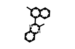 Cc1cc(-c2nc3ccccc3nc2C)c2ccccc2c1